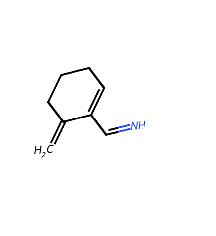 C=C1CCCC=C1C=N